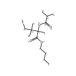 CCCCOC(=O)C(C)(OC(=O)N(C)C)C(C)(C)CF